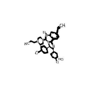 C#Cc1ccc(C2=N[C@@H](c3ccc(Cl)cc3)[C@@H](c3ccc(Cl)cc3)N2C(=O)N2CCN(CCC#N)CC2)c(OCC)c1.Cl